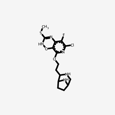 CSC1=Nc2c(F)c(Cl)nc(OCCC3NCC4CCC3N4)c2ON1